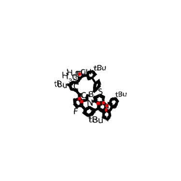 CC(C)(C)c1cc2cc(c1)C(C)(C)C(C)(C)c1cc(cc(C(C)(C)C)c1)-c1ccc3c(c1)B1c4cc-2ccc4Sc2cc(-n4c5cc(C(C)(C)C)ccc5c5ccc(C(C)(C)C)cc54)cc(c21)N3c1c(-c2ccccc2F)cccc1-c1ccccc1F